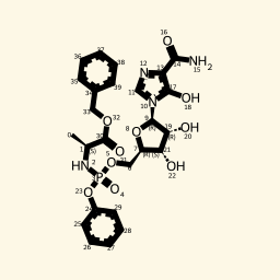 C[C@H](NP(=O)(OC[C@H]1O[C@@H](n2cnc(C(N)=O)c2O)[C@H](O)[C@@H]1O)Oc1ccccc1)C(=O)OCc1ccccc1